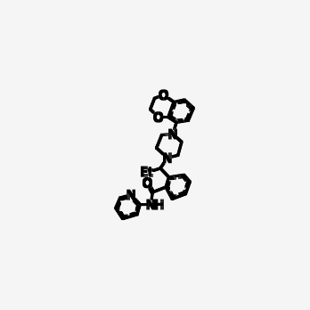 CCC(c1ccccc1C(=O)Nc1ccccn1)N1CCN(c2cccc3c2OCCO3)CC1